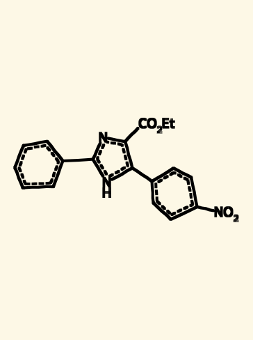 CCOC(=O)c1nc(-c2ccccc2)[nH]c1-c1ccc([N+](=O)[O-])cc1